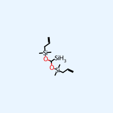 C=CC[Si](C)(C)OC([SiH3])O[Si](C)(C)CC=C